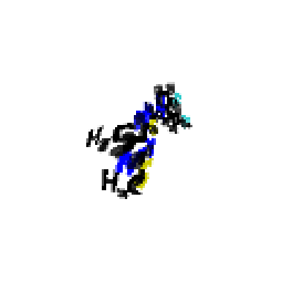 CSc1ncc(C)c(-c2nnc(NC[C@]3(c4ncccc4F)C[C@H](F)C3)s2)n1